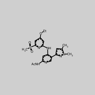 CCOc1cc(Nc2cc(NC(C)=O)ncc2-c2cc(C)n(C)n2)nc(S(C)(=O)=O)c1